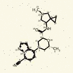 C[C@@H]1CN(c2ccc(C#N)n3nccc23)C[C@H](C(=O)NC2CN(C)CC23CC3)O1